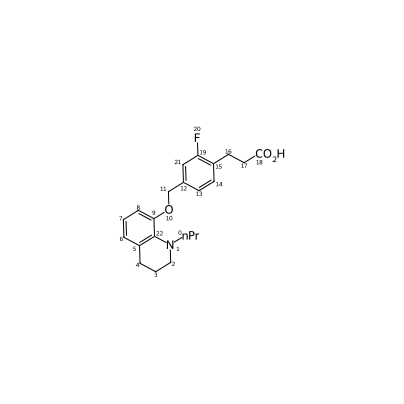 CCCN1CCCc2cccc(OCc3ccc(CCC(=O)O)c(F)c3)c21